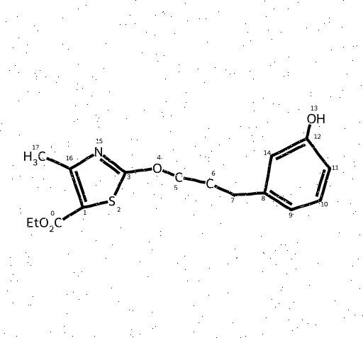 CCOC(=O)c1sc(OCCCc2cccc(O)c2)nc1C